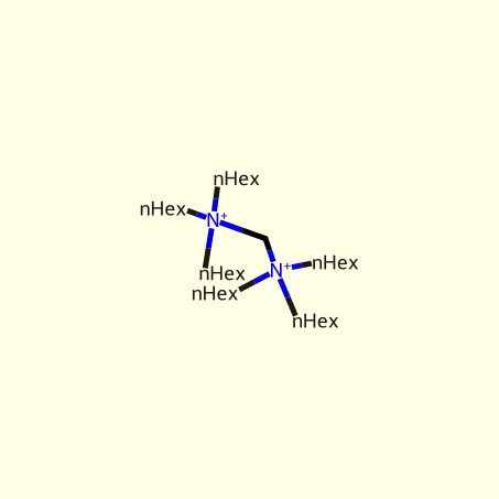 CCCCCC[N+](CCCCCC)(CCCCCC)C[N+](CCCCCC)(CCCCCC)CCCCCC